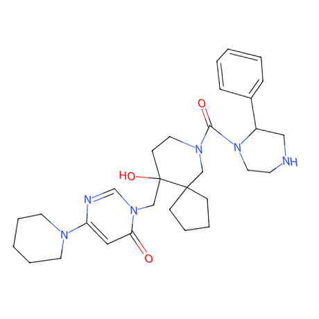 O=C(N1CCC(O)(Cn2cnc(N3CCCCC3)cc2=O)C2(CCCC2)C1)N1CCNCC1c1ccccc1